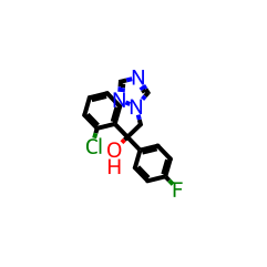 OC(Cn1cncn1)(c1ccc(F)cc1)c1ccccc1Cl